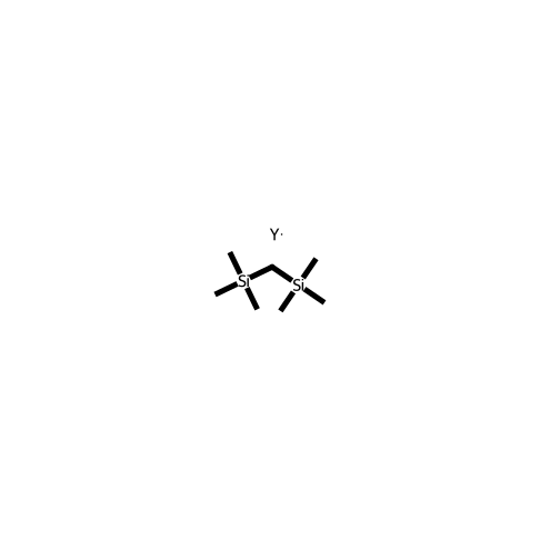 C[Si](C)(C)C[Si](C)(C)C.[Y]